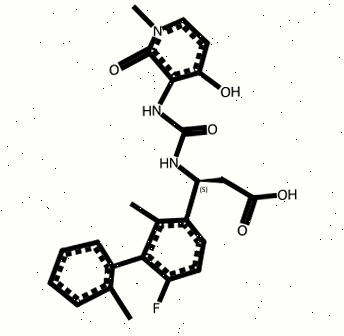 Cc1ccccc1-c1c(F)ccc([C@H](CC(=O)O)NC(=O)Nc2c(O)ccn(C)c2=O)c1C